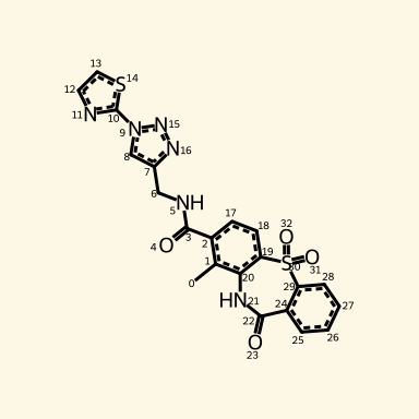 Cc1c(C(=O)NCc2cn(-c3nccs3)nn2)ccc2c1NC(=O)c1ccccc1S2(=O)=O